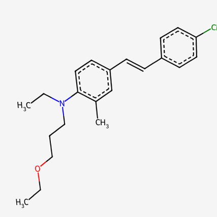 CCOCCCN(CC)c1ccc(C=Cc2ccc(Cl)cc2)cc1C